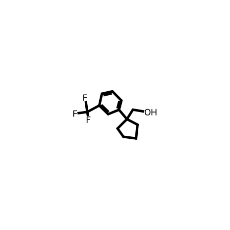 OCC1(c2cccc(C(F)(F)F)c2)CCCC1